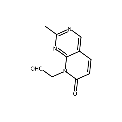 Cc1ncc2ccc(=O)n(CC=O)c2n1